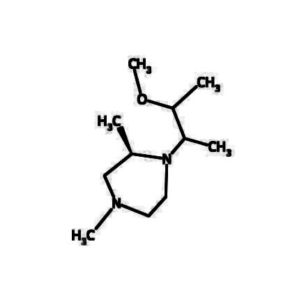 COC(C)C(C)N1CCN(C)C[C@H]1C